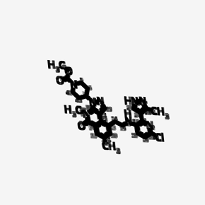 COC(=O)N1CCC(n2ncc3c4c(CCNc5ccc(Cl)nc5-c5c[nH]nc5C)cc(C)cc4c(=O)n(C)c32)CC1